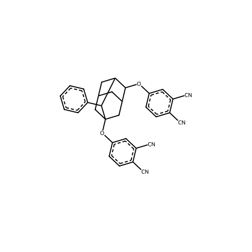 N#Cc1ccc(OC2C3CC4CC2C(c2ccccc2)C(Oc2ccc(C#N)c(C#N)c2)(C4)C3)cc1C#N